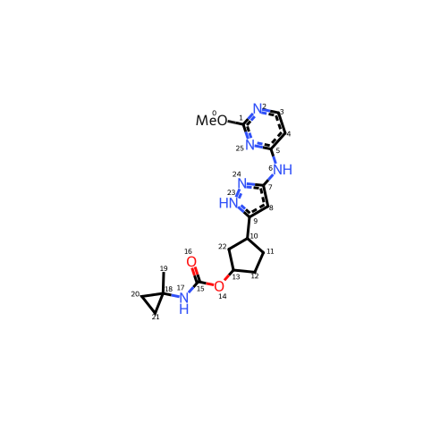 COc1nccc(Nc2cc(C3CCC(OC(=O)NC4(C)CC4)C3)[nH]n2)n1